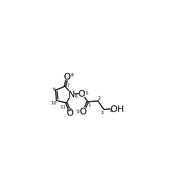 O=C(CCO)ON1C(=O)C=CC1=O